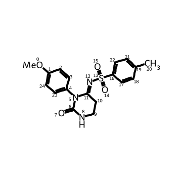 COc1ccc(N2C(=O)NCCC2=NS(=O)(=O)c2ccc(C)cc2)cc1